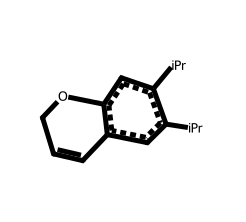 CC(C)c1cc2c(cc1C(C)C)OCC=C2